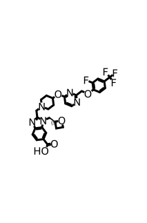 O=C(O)c1ccc2nc(CN3CCC(Oc4ccnc(COc5ccc(C(F)(F)F)cc5F)n4)CC3)n(C[C@@H]3CCO3)c2c1